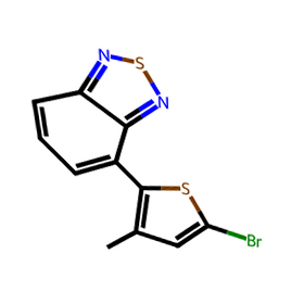 Cc1cc(Br)sc1-c1cccc2nsnc12